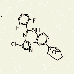 Fc1cccc(F)c1C1=Nc2c(Cl)cnn2-c2cc(N3C=C4CCC(C3)O4)ncc2N1